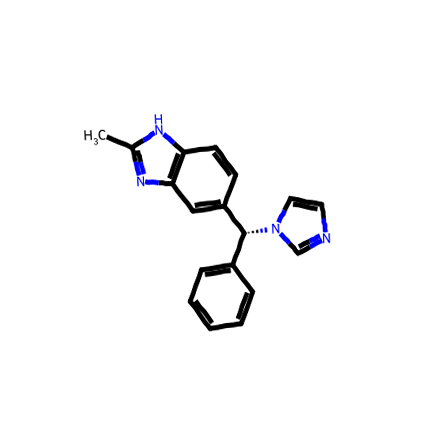 Cc1nc2cc([C@@H](c3ccccc3)n3ccnc3)ccc2[nH]1